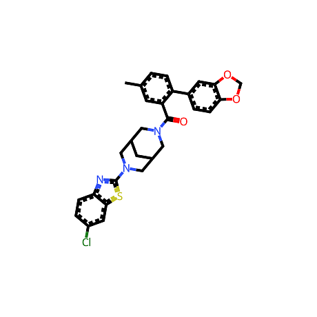 Cc1ccc(-c2ccc3c(c2)OCO3)c(C(=O)N2CC3CC(C2)CN(c2nc4ccc(Cl)cc4s2)C3)c1